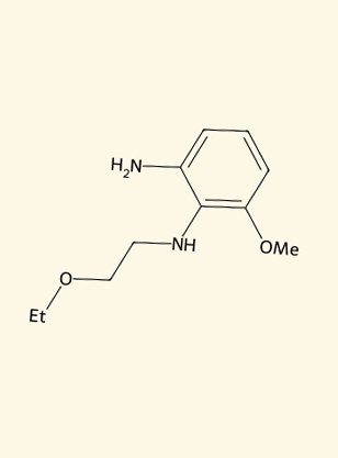 CCOCCNc1c(N)cccc1OC